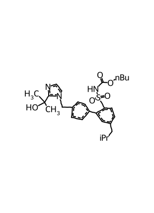 CCCCOC(=O)NS(=O)(=O)c1ccc(CC(C)C)cc1-c1ccc(Cn2ccnc2C(C)(C)O)cc1